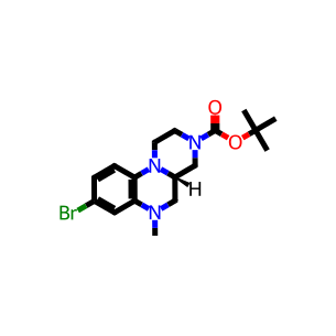 CN1C[C@H]2CN(C(=O)OC(C)(C)C)CCN2c2ccc(Br)cc21